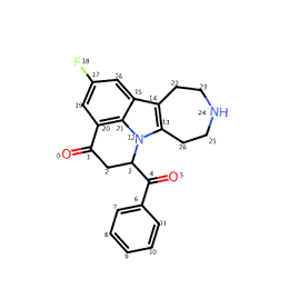 O=C1CC(C(=O)c2ccccc2)n2c3c(c4cc(F)cc1c42)CCNCC3